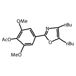 CCCCc1nc(-c2cc(OC)c(OC(C)=O)c(OC)c2)oc1CCCC